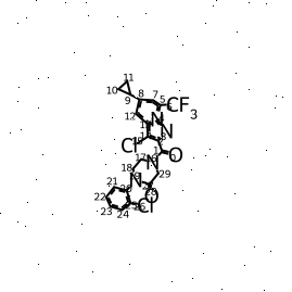 O=C(c1nn2c(C(F)(F)F)cc(C3CC3)cc2c1Cl)N1CCN(c2ccccc2Cl)C(=O)C1